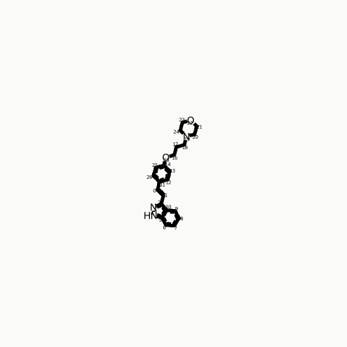 C(=Cc1n[nH]c2ccccc12)c1ccc(OCCCN2CCOCC2)cc1